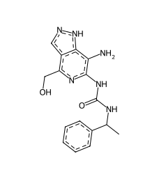 CC(NC(=O)Nc1nc(CO)c2cn[nH]c2c1N)c1ccccc1